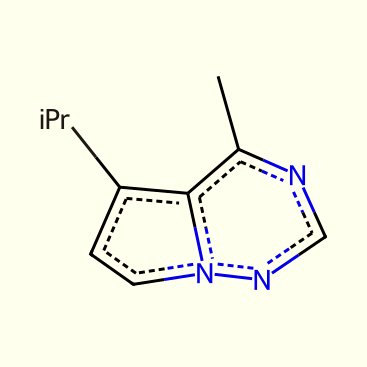 Cc1ncnn2ccc(C(C)C)c12